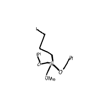 CO[Si](CCCI)(OC(C)C)OC(C)C